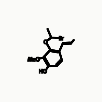 CC=Cc1ccc(O)c(OC)c1OC(C)Br